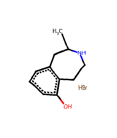 Br.CC1Cc2cccc(O)c2CCN1